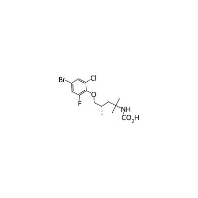 C[C@H](COc1c(F)cc(Br)cc1Cl)CC(C)(C)NC(=O)O